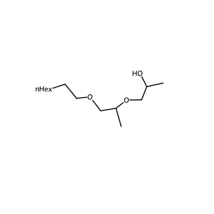 CCCCCCCCOCC(C)OCC(C)O